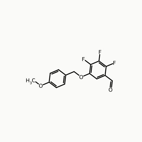 COc1ccc(COc2cc(C=O)c(F)c(F)c2F)cc1